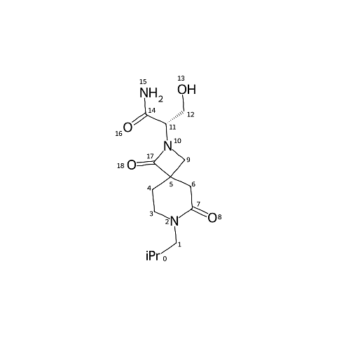 CC(C)CN1CCC2(CC1=O)CN([C@@H](CO)C(N)=O)C2=O